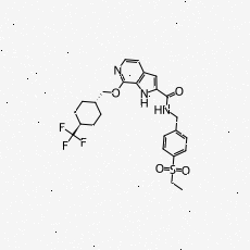 CCS(=O)(=O)c1ccc(CNC(=O)c2cc3ccnc(OC[C@H]4CC[C@H](C(F)(F)F)CC4)c3[nH]2)cc1